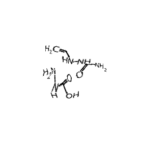 C=CNNC(N)=O.NNC(=O)O